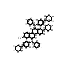 CCC(C)c1ccc2c(c1)c(N(c1ccccc1)c1ccc(C3CCCCC3)cc1)cc1c3ccc(C4CCCCC4)cc3c(N(c3ccccc3)c3ccc(C4CCCCC4)cc3)cc21